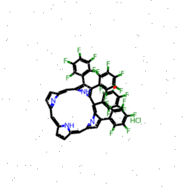 Cl.Fc1c(F)c(F)c(C2=Cc3cc4ccc(cc5nc(cc6[nH]c(c(-c7c(F)c(F)c(F)c(F)c7F)c2n3)c(-c2c(F)c(F)c(F)c(F)c2F)c6-c2c(F)c(F)c(F)c(F)c2F)C=C5)[nH]4)c(F)c1F